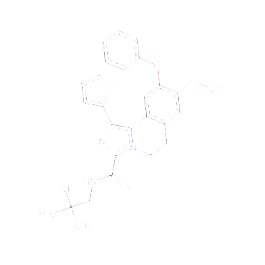 COc1cc2c(cc1Oc1ccccc1)-c1c(-c3cccs3)nc(C(=O)NCC(C)(C)C)n1CC2